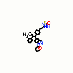 C/C=C(\c1ccccc1)C(c1ccc(C=Cc2nsc(=O)[nH]2)cc1)c1ccc2c(cnn2C2CCCCO2)c1